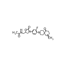 CC(=O)NCC1CN(c2ccc(N3CCC4(CC3)CN(C)CCC4=O)c(F)c2)C(=O)O1